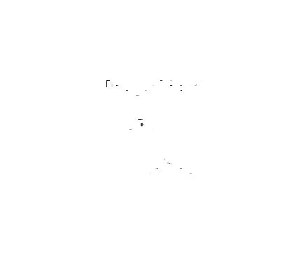 C/C=C/C(CCC)[SiH](C)CN(C)C